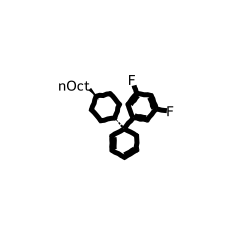 CCCCCCCC[C@H]1CC[C@H](C2(c3cc(F)cc(F)c3)C=CC=CC2)CC1